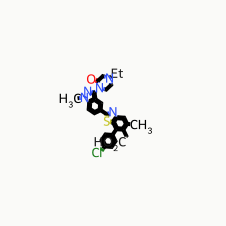 CCN1CCN(c2nn(C)c3ccc(-c4nc5cc(C)c(CC(=O)O)c(-c6ccc(Cl)cc6)c5s4)cc23)C(=O)C1